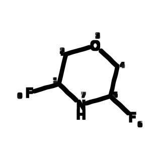 FC1[CH]OCC(F)N1